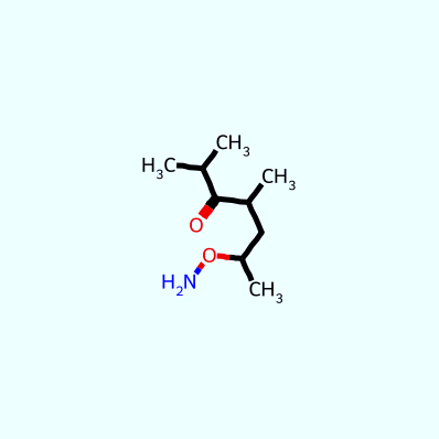 CC(CC(C)C(=O)C(C)C)ON